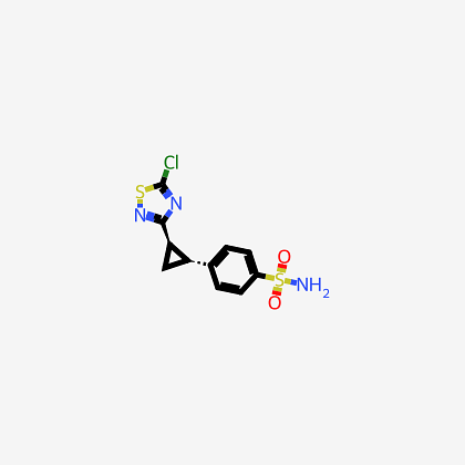 NS(=O)(=O)c1ccc([C@@H]2C[C@H]2c2nsc(Cl)n2)cc1